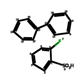 O=S(=O)(O)c1ccccc1F.c1ccc(-c2ccccc2)cc1